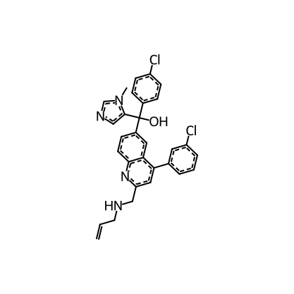 C=CCNCc1cc(-c2cccc(Cl)c2)c2cc(C(O)(c3ccc(Cl)cc3)c3cncn3C)ccc2n1